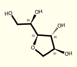 OC[C@@H](O)[C@@H]1O[CH][C@H](O)[C@H]1O